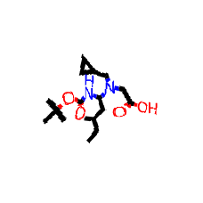 CCC(C)CC(NC(=O)OC(C)(C)C)N(CC(=O)O)CC1CC1